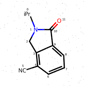 CC(C)N1Cc2c(C#N)cccc2C1=O